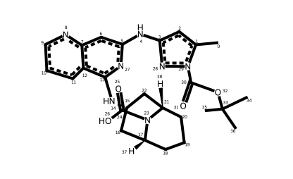 Cc1cc(Nc2cc3ncccc3c(N[C@H]3C[C@H]4CCC[C@@H](C3)N4C(=O)O)n2)nn1C(=O)OC(C)(C)C